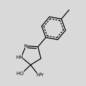 CCCC1(O)CC(c2ccc(C)cc2)=NN1